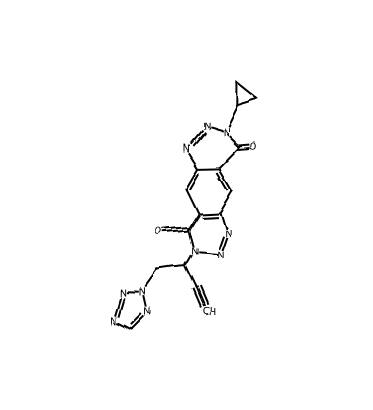 C#CC(Cn1ncnn1)n1nnc2cc3c(=O)n(C4CC4)nnc3cc2c1=O